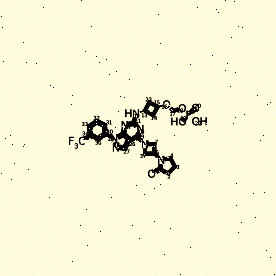 O=C1CCCN1C1CN(c2nc(N[C@H]3C[C@@H](OCOP(=O)(O)O)C3)nc3c2cnn3-c2cccc(C(F)(F)F)c2)C1